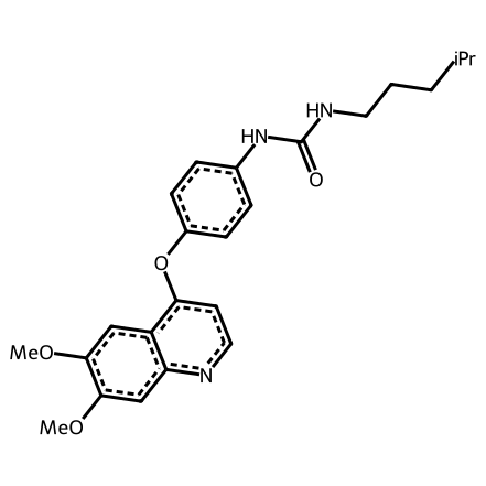 COc1cc2nccc(Oc3ccc(NC(=O)NCCCC(C)C)cc3)c2cc1OC